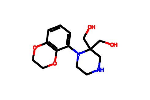 OCC1(CO)CNCCN1c1cccc2c1OCCO2